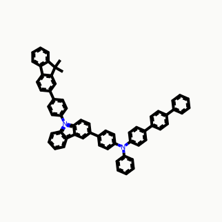 CC1(C)c2ccccc2-c2ccc(-c3ccc(-n4c5ccccc5c5cc(-c6ccc(N(c7ccccc7)c7ccc(-c8ccc(-c9ccccc9)cc8)cc7)cc6)ccc54)cc3)cc21